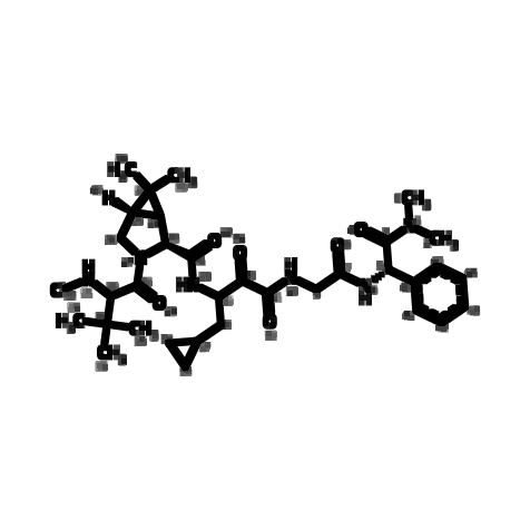 CN(C)C(=O)[C@@H](NC(=O)CNC(=O)C(=O)C(CC1CC1)NC(=O)[C@@H]1C2[C@H](CN1C(=O)C(NCl)C(C)(C)C)C2(C)C)c1ccccc1